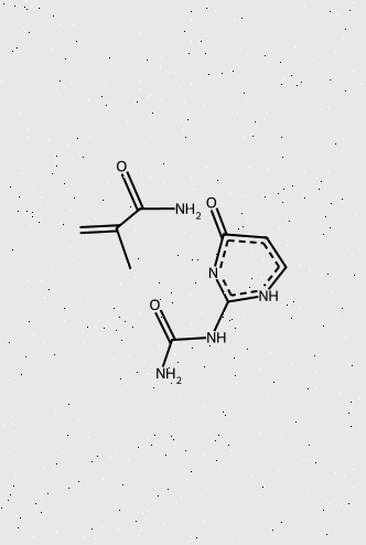 C=C(C)C(N)=O.NC(=O)Nc1nc(=O)cc[nH]1